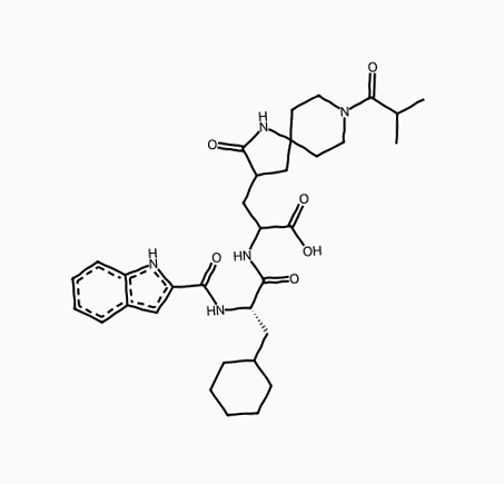 CC(C)C(=O)N1CCC2(CC1)CC(CC(NC(=O)[C@H](CC1CCCCC1)NC(=O)c1cc3ccccc3[nH]1)C(=O)O)C(=O)N2